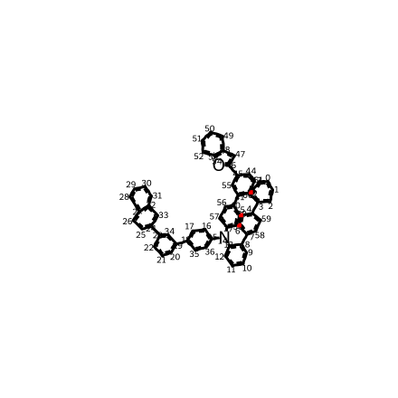 c1ccc(-c2ccc(-c3ccccc3N(c3ccc(-c4cccc(-c5ccc6ccccc6c5)c4)cc3)c3ccc(-c4cccc(-c5cc6ccccc6o5)c4)cc3)cc2)cc1